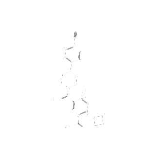 C#Cc1ccc(C2CCN(C(=C)c3cc(C(=C)CCC)c(C4CCC4)cc3C)CC2)cc1